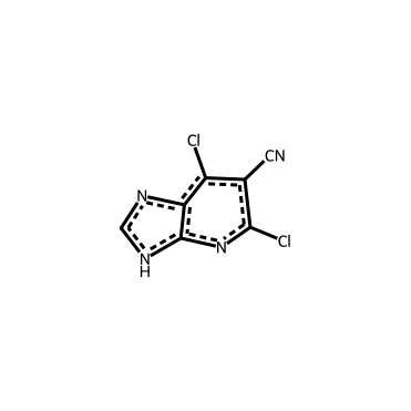 N#Cc1c(Cl)nc2[nH]cnc2c1Cl